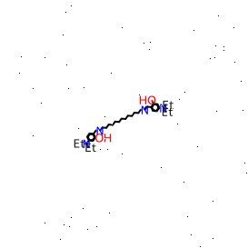 CCN(CC)c1ccc(C=NCCCCCCCCCCCCCN=Cc2ccc(N(CC)CC)cc2O)c(O)c1